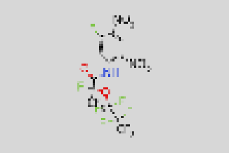 O=C(Nc1cc(F)c([N+](=O)[O-])cc1[N+](=O)[O-])C(F)(OC(F)(F)C(F)(F)C(F)(F)F)C(F)(F)F